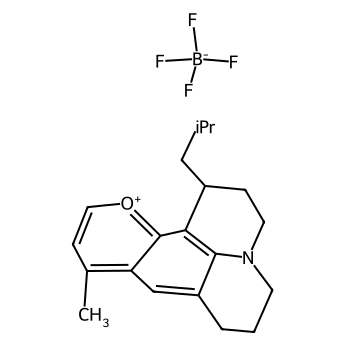 Cc1cc[o+]c2c3c4c(cc12)CCCN4CCC3CC(C)C.F[B-](F)(F)F